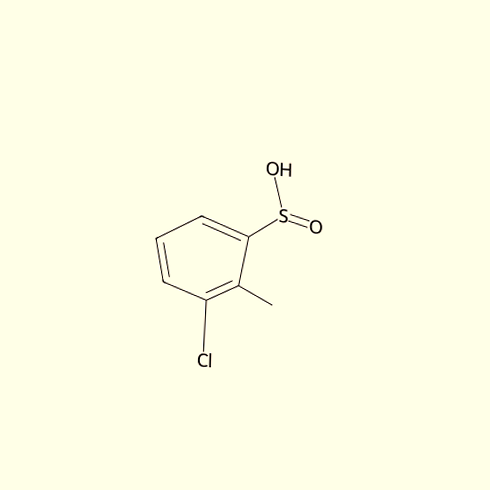 Cc1c(Cl)cccc1S(=O)O